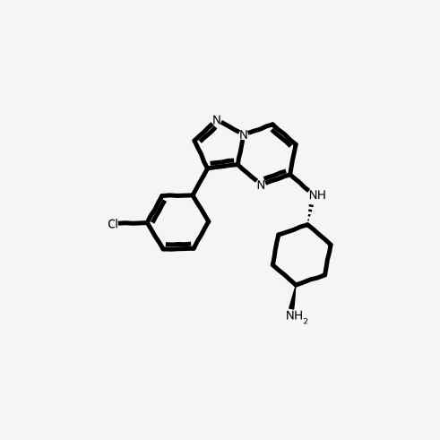 N[C@H]1CC[C@H](Nc2ccn3ncc(C4C=C(Cl)C=CC4)c3n2)CC1